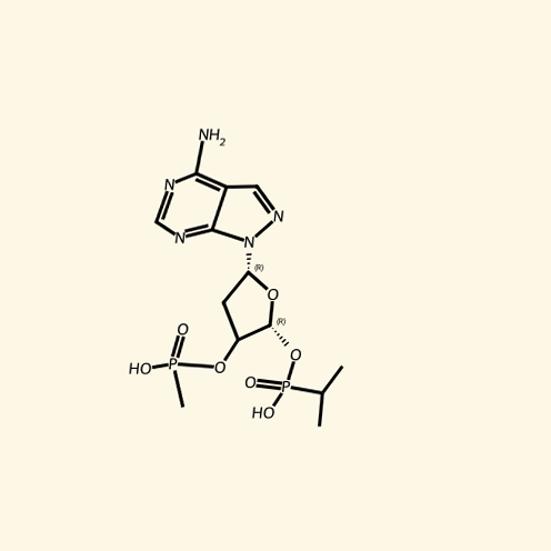 CC(C)P(=O)(O)O[C@H]1O[C@@H](n2ncc3c(N)ncnc32)CC1OP(C)(=O)O